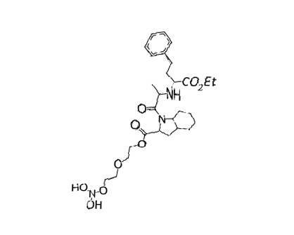 CCOC(=O)C(CCc1ccccc1)NC(C)C(=O)N1C(C(=O)OCCOCCON(O)O)CC2CCCCC21